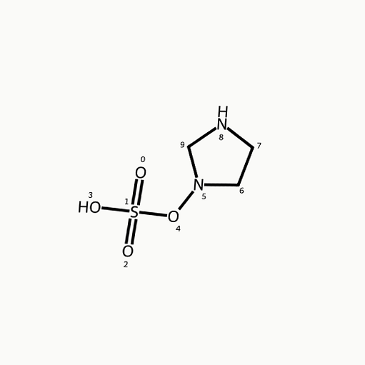 O=S(=O)(O)ON1CCNC1